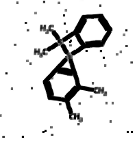 Cc1ccc2c(c1C)[Si]21c2ccccc2[Si]1(C)C